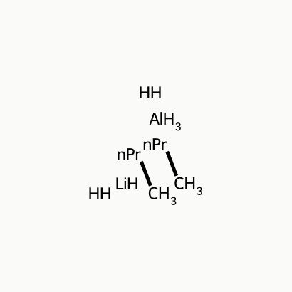 CCCC.CCCC.[AlH3].[HH].[HH].[LiH]